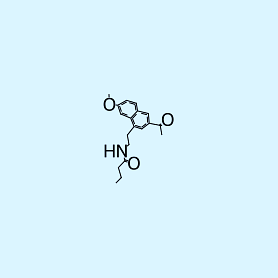 CCCC(=O)NCCc1cc(C(C)=O)cc2ccc(OC)cc12